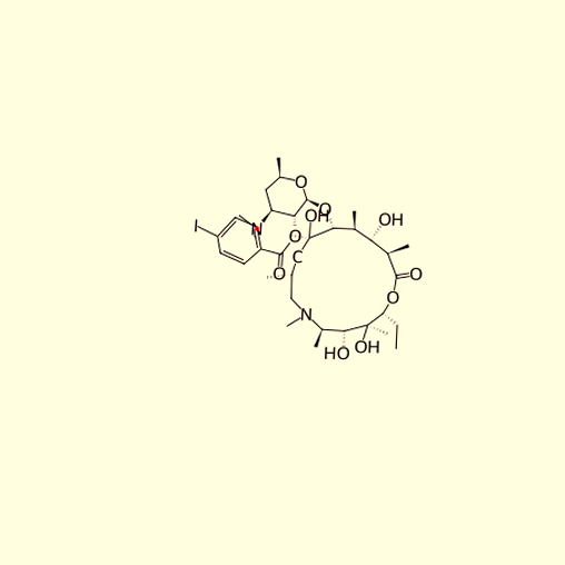 CC[C@H]1OC(=O)[C@H](C)[C@@H](O)[C@H](C)[C@@H](O[C@@H]2O[C@H](C)C[C@H](N(C)C)[C@H]2OC(=O)c2ccc(I)cc2)[C@](C)(O)C[C@@H](C)CN(C)[C@H](C)[C@@H](O)[C@]1(C)O